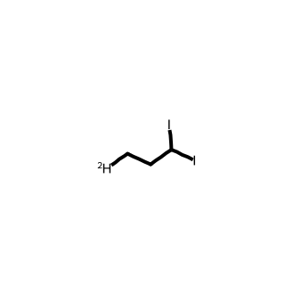 [2H]CCC(I)I